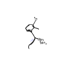 C/C=C(\NN)c1cccc(OC)c1C